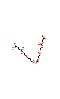 C[Si](C)(CCCOCCOC(=O)CCC(=O)Cl)O[Si](C)(C)CCCOCCOC(=O)CCC(=O)Cl